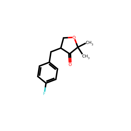 CC1(C)OCC(Cc2ccc(F)cc2)C1=O